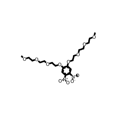 COCCOCCOCCOc1cc([N+](=O)[O-])c([N+](=O)[O-])cc1OCCOCCOCCOC